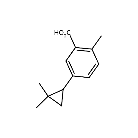 Cc1ccc(C2CC2(C)C)cc1C(=O)O